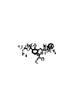 COc1c(CC(NC(=O)C(Cl)CCl)B2OC3CC4CC(C4(C)C)C3(C)O2)cccc1C(=O)OC(C)(C)C